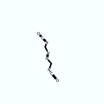 O=C=NCN=NCN=C=O